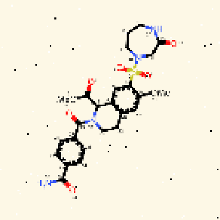 COC(=O)C1c2cc(S(=O)(=O)N3CCCNC(=O)C3)c(OC)cc2CCN1C(=O)c1ccc(C(N)=O)cc1